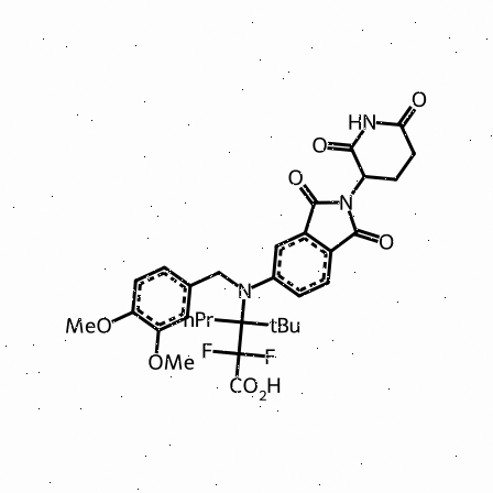 CCCC(N(Cc1ccc(OC)c(OC)c1)c1ccc2c(c1)C(=O)N(C1CCC(=O)NC1=O)C2=O)(C(C)(C)C)C(F)(F)C(=O)O